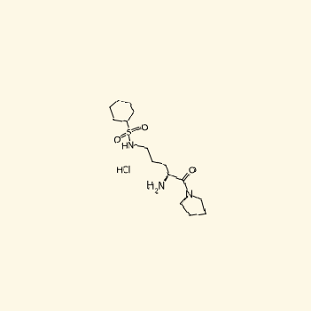 Cl.N[C@@H](CCCNS(=O)(=O)C1CCCCC1)C(=O)N1CCCC1